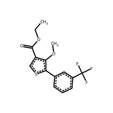 CCOC(=O)c1csc(-c2cccc(C(F)(F)F)c2)c1OC